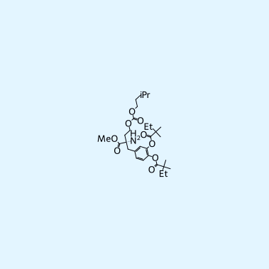 CCC(C)(C)C(=O)Oc1ccc(C[C@](N)(CCOC(=O)OCCC(C)C)C(=O)OC)cc1OC(=O)C(C)(C)CC